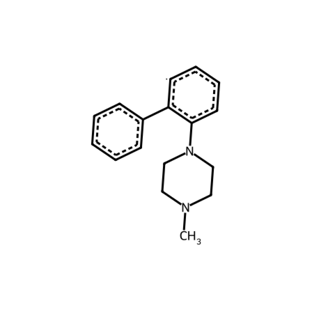 CN1CCN(c2ccc[c]c2-c2ccccc2)CC1